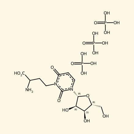 NC(CCn1c(=O)ccn([C@@H]2O[C@H](CO)[C@@H](O)[C@H]2O)c1=O)C(=O)O.O=P(O)(O)O.O=P(O)(O)O.O=P(O)(O)O